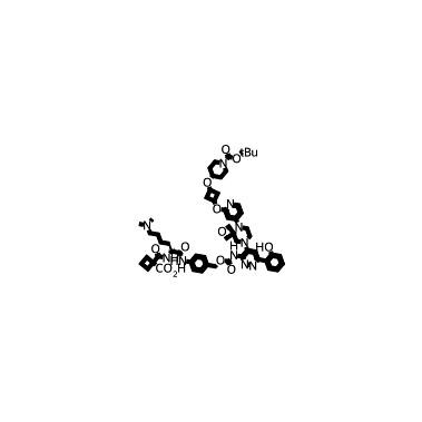 CN(C)CCCC[C@H](NC(=O)C1(C(=O)O)CCC1)C(=O)Nc1ccc(COC(=O)Nc2nnc(-c3ccccc3O)cc2N2CCN(c3ccnc(OC4CC(OC5CCN(C(=O)OC(C)(C)C)CC5)C4)c3)C3(COC3)C2)cc1